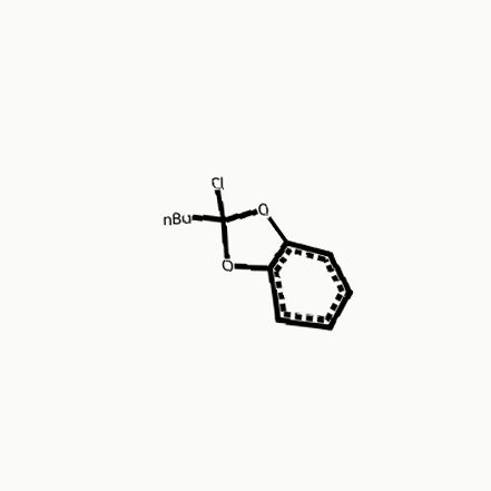 CCCCC1(Cl)Oc2ccccc2O1